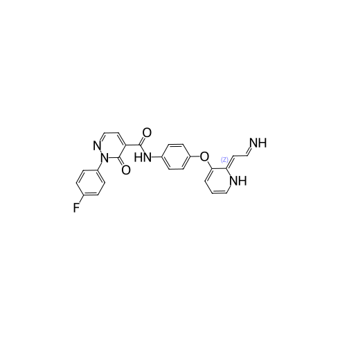 N=C/C=C1\NC=CC=C1Oc1ccc(NC(=O)c2ccnn(-c3ccc(F)cc3)c2=O)cc1